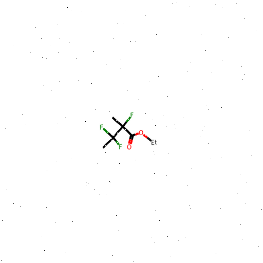 CCOC(=O)C(C)(F)C(C)(F)F